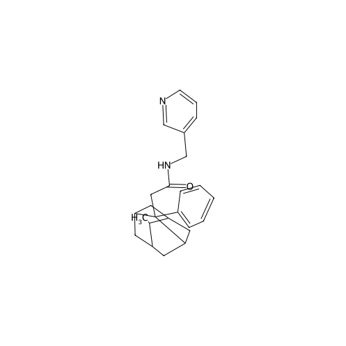 CC1C2CC3CC1CC(C2)C3(CC(=O)NCc1cccnc1)c1ccccc1